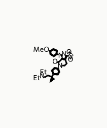 CCN(CC)CCC1(c2ccc(N3CCc4c(S(C)(=O)=O)nn(-c5ccc(OC)cc5)c4C3=O)cc2)CC1